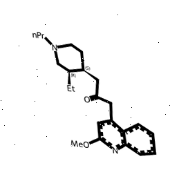 CCCN1CC[C@@H](CC(=O)Cc2cc(OC)nc3ccccc23)[C@@H](CC)C1